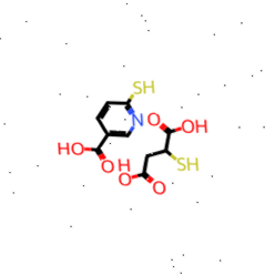 O=C(O)CC(S)C(=O)O.O=C(O)c1ccc(S)nc1